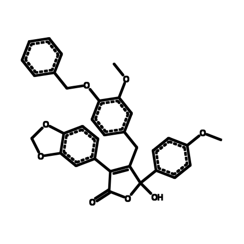 COc1ccc(C2(O)OC(=O)C(c3ccc4c(c3)OCO4)=C2Cc2ccc(OCc3ccccc3)c(OC)c2)cc1